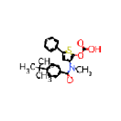 CN(C(=O)c1ccc(C(C)(C)C)cc1)c1cc(-c2ccccc2)sc1OC(=O)O